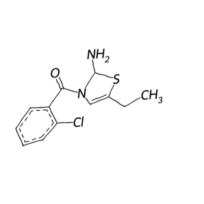 CCC1=CN(C(=O)c2ccccc2Cl)C(N)S1